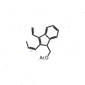 C=CC1=C(/C=C\C)C(COC(C)=O)c2ccccc21